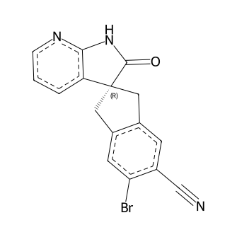 N#Cc1cc2c(cc1Br)C[C@@]1(C2)C(=O)Nc2ncccc21